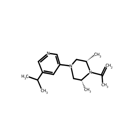 C=C(C)N1[C@H](C)CN(c2cncc(C(C)C)c2)C[C@@H]1C